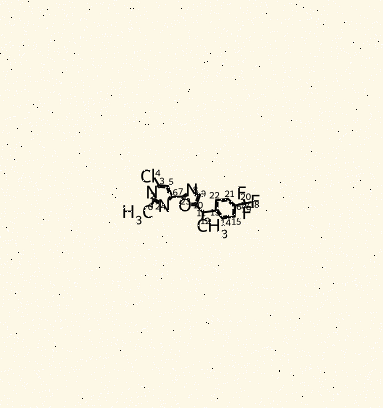 Cc1nc(Cl)cc(-c2ncc(C(C)c3ccc(C(F)(F)F)cc3)o2)n1